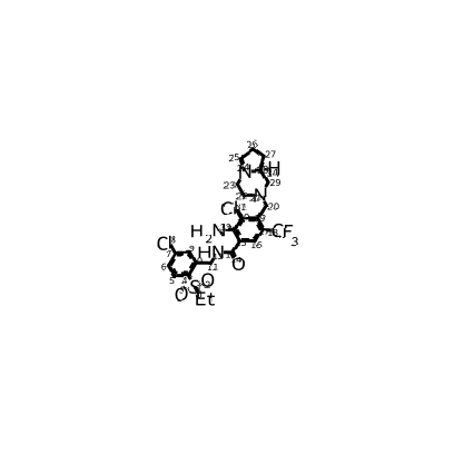 CCS(=O)(=O)c1ccc(Cl)cc1CNC(=O)c1cc(C(F)(F)F)c(CN2CCN3CCC[C@H]3C2)c(Cl)c1N